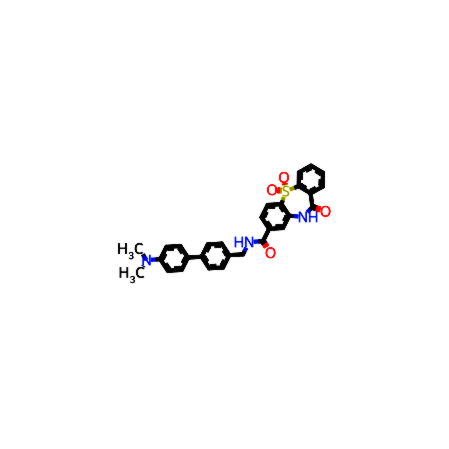 CN(C)c1ccc(-c2ccc(CNC(=O)c3ccc4c(c3)NC(=O)c3ccccc3S4(=O)=O)cc2)cc1